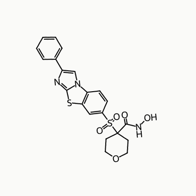 O=C(NO)C1(S(=O)(=O)c2ccc3c(c2)sc2nc(-c4ccccc4)cn23)CCOCC1